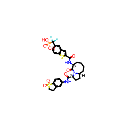 O=C(N[C@H]1CCCC[C@H]2CC[C@@H](C(=O)Nc3ccc4c(c3)CCS4(=O)=O)N2C1=O)c1cc2cc(C(F)(F)P(=O)(O)O)ccc2s1